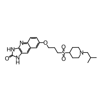 CC(C)CN1CCC(S(=O)(=O)CCCOc2ccc3nc4[nH]c(=O)[nH]c4cc3c2)CC1